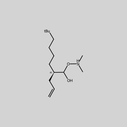 C=CC[C@@H](CCCCC(C)(C)C)C(O)O[SiH](C)C